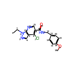 CCn1ncc2c(Cl)c(C(=O)NCc3ccc(OC)cc3)cnc21